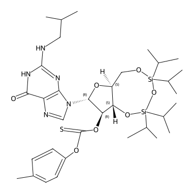 Cc1ccc(OC(=S)O[C@@H]2[C@H]3O[Si](C(C)C)(C(C)C)O[Si](C(C)C)(C(C)C)OC[C@@H]3O[C@H]2n2cnc3c(=O)[nH]c(NCC(C)C)nc32)cc1